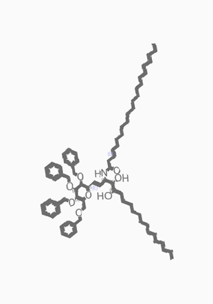 CCCCCCCCCCCCCCCCCC/C=C/CC(=O)N[C@@H](/C=C/[C@H]1OC(COCc2ccccc2)[C@H](OCc2ccccc2)[C@H](OCc2ccccc2)C1OCc1ccccc1)[C@H](O)[C@H](O)CCCCCCCCCCCCCC